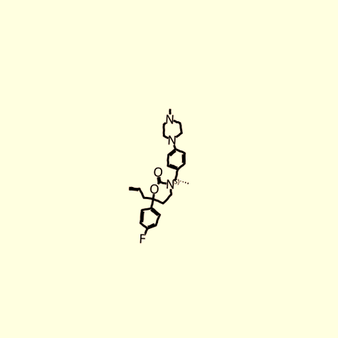 C=CCC1(c2ccc(F)cc2)CCN([C@@H](C)c2ccc(N3CCN(C)CC3)cc2)C(=O)O1